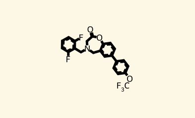 O=C1CN(Cc2c(F)cccc2F)Cc2cc(-c3ccc(OC(F)(F)F)cc3)ccc2O1